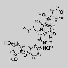 CCCCN1C(=O)[C@@H]([C@H](O)C2CCOCC2)NC(=O)C12CCN(Cc1ccc(Oc3ccc(O)cc3OC)cc1)CC2.Cl